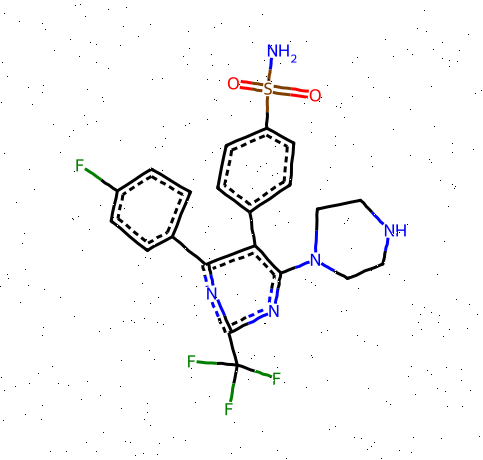 NS(=O)(=O)c1ccc(-c2c(-c3ccc(F)cc3)nc(C(F)(F)F)nc2N2CCNCC2)cc1